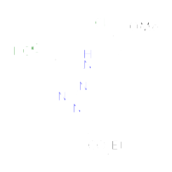 CCOC(=O)C1CCN(c2nc(NCc3ccc(OC)c(Cl)c3)c3cc(Cl)ccc3n2)CC1.Cl